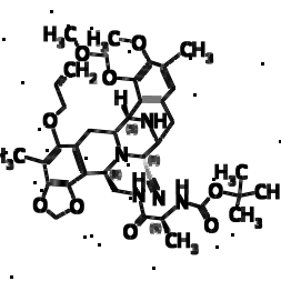 C=CCOc1c(C)c2c(c3c1CC1[C@H]4NC(Cc5cc(C)c(OC)c(OCOC)c54)[C@H](C#N)N1[C@H]3CNC(=O)[C@H](C)NC(=O)OC(C)(C)C)OCO2